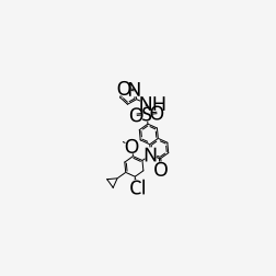 COC1=C(n2c(=O)ccc3cc(S(=O)(=O)Nc4ccon4)ccc32)C[C@@H](Cl)C(C2CC2)=C1